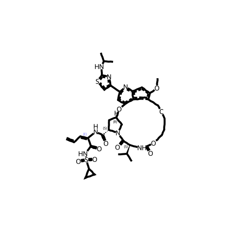 C=C/C=C(/NC(=O)[C@@H]1C[C@@H]2CN1C(=O)[C@H](C(C)C)NC(=O)OCCCCCc1cc3c(cc(-c4csc(NC(C)C)n4)nc3cc1OC)O2)C(=O)NS(=O)(=O)C1CC1